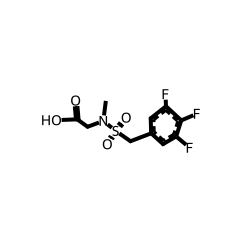 CN(CC(=O)O)S(=O)(=O)Cc1cc(F)c(F)c(F)c1